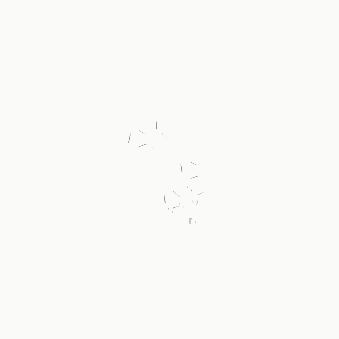 O=C(c1ccccc1F)N1CCC(Oc2ccc(N(C(=O)[C@H]3CCNC3)c3cccnn3)cc2)CC1